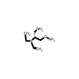 C=CN(CC)[C@H](CN)CON